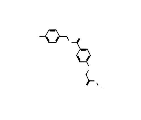 CCC(C)c1ccc(COC(=O)c2ccc(OCC(=O)OC(C)(C)C)cc2)cc1